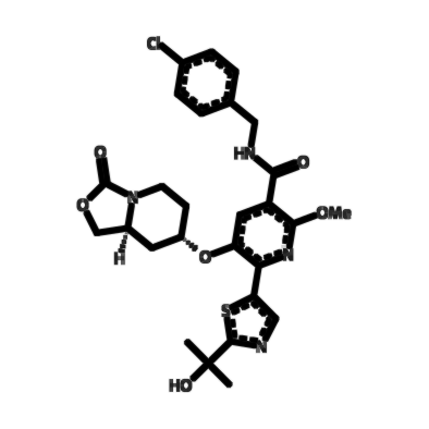 COc1nc(-c2cnc(C(C)(C)O)s2)c(O[C@H]2CCN3C(=O)OC[C@@H]3C2)cc1C(=O)NCc1ccc(Cl)cc1